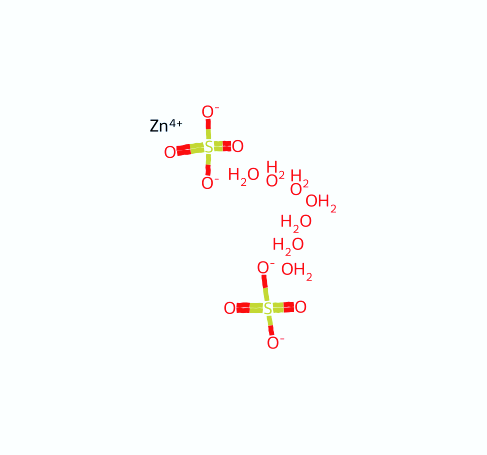 O.O.O.O.O.O.O.O=S(=O)([O-])[O-].O=S(=O)([O-])[O-].[Zn+4]